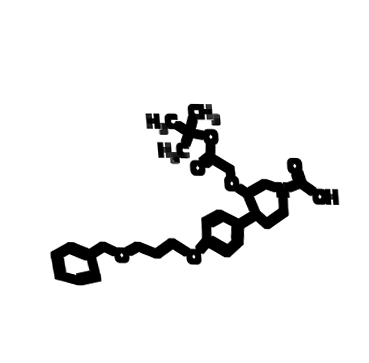 CC(C)(C)OC(=O)COC1CN(C(=O)O)CCC1c1ccc(OCCCOCc2ccccc2)cc1